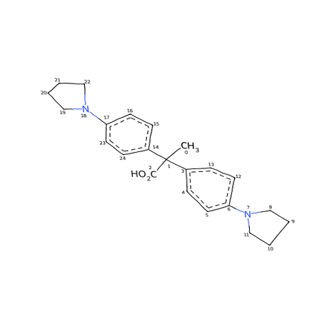 CC(C(=O)O)(c1ccc(N2CCCC2)cc1)c1ccc(N2CCCC2)cc1